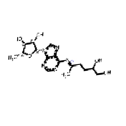 C/C(CCC(O)CO)=N\c1ncnc2c1ncn2[C@@H]1O[C@H](C)[C@@H](O)[C@H]1O